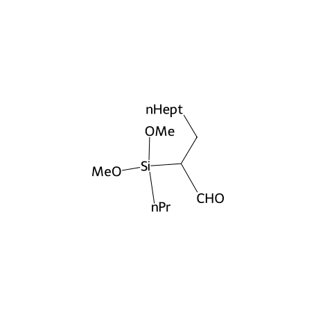 CCCCCCCCC(C=O)[Si](CCC)(OC)OC